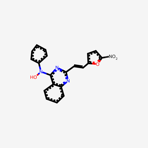 O=[N+]([O-])c1ccc(C=Cc2nc(N(O)c3ccccc3)c3ccccc3n2)o1